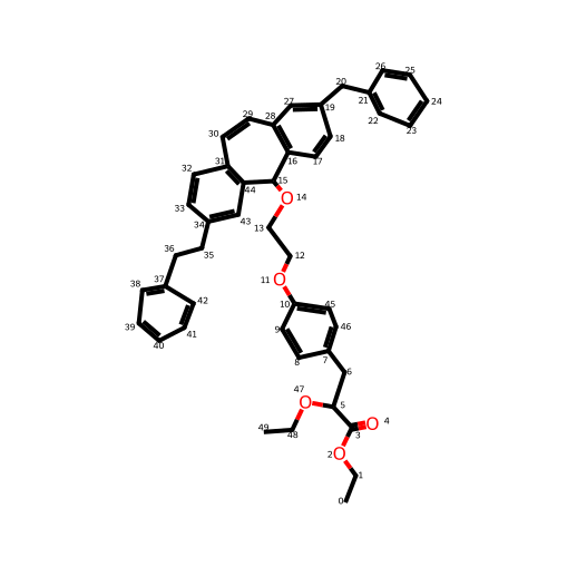 CCOC(=O)C(Cc1ccc(OCCOC2c3ccc(Cc4ccccc4)cc3C=Cc3ccc(CCc4ccccc4)cc32)cc1)OCC